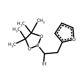 CCC(Cc1ccco1)B1OC(C)(C)C(C)(C)O1